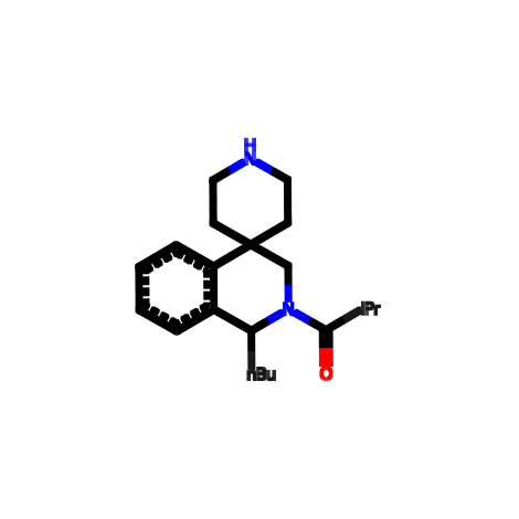 CCCCC1c2ccccc2C2(CCNCC2)CN1C(=O)C(C)C